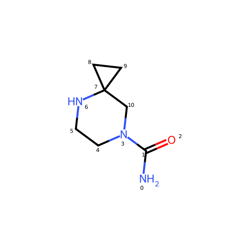 NC(=O)N1CCNC2(CC2)C1